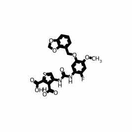 COc1cc(F)c(NC(=O)Nc2csc(C(=O)O)c2C(=O)O)cc1OCc1cccc2c1OCO2